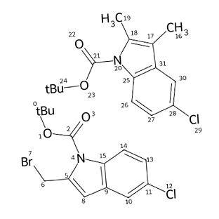 CC(C)(C)OC(=O)n1c(CBr)cc2cc(Cl)ccc21.Cc1c(C)n(C(=O)OC(C)(C)C)c2ccc(Cl)cc12